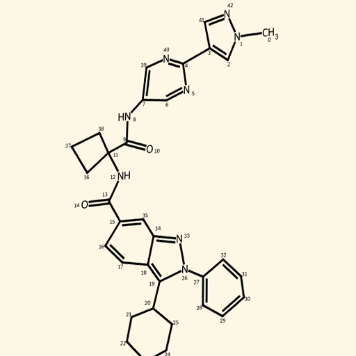 Cn1cc(-c2ncc(NC(=O)C3(NC(=O)c4ccc5c(C6CCCCC6)n(-c6ccccc6)nc5c4)CCC3)cn2)cn1